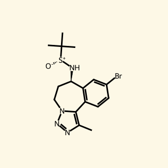 Cc1nnn2c1-c1ccc(Br)cc1[C@H](N[S@+]([O-])C(C)(C)C)CC2